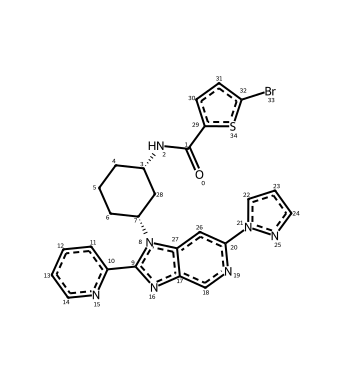 O=C(N[C@H]1CCC[C@@H](n2c(-c3ccccn3)nc3cnc(-n4cccn4)cc32)C1)c1ccc(Br)s1